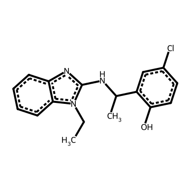 CCn1c(NC(C)c2cc(Cl)ccc2O)nc2ccccc21